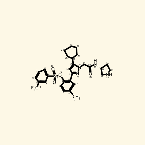 Cc1ccc(OS(=O)(=O)c2cccc(C(F)(F)F)c2)c(-c2cc(C3CCCCC3)n(CC(=O)N[C@@H]3CCNC3)n2)c1